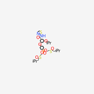 CC(C)CC(=O)SCCOP(=O)(OCCSC(=O)CC(C)C)c1ccc(Oc2cc(OC(C)C)cc(C(=O)Nc3nccs3)c2)cc1